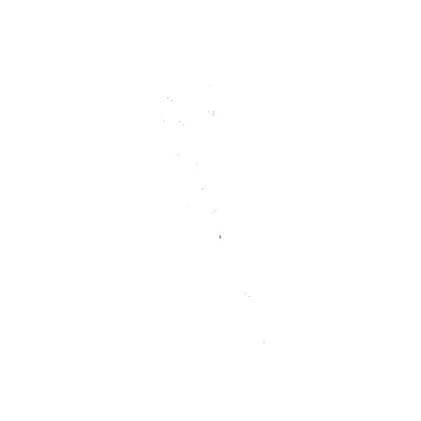 CCc1nccn1C(CN)c1cc(-c2ccc(C#CC3C4CN(CC(C)O)CC34)cc2)on1